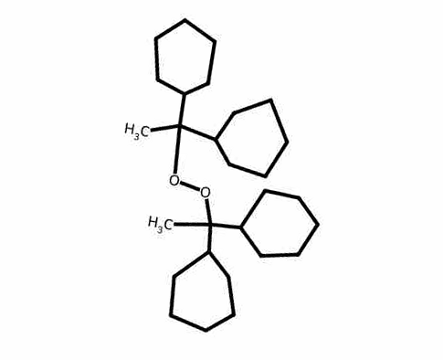 CC(OOC(C)(C1CCCCC1)C1CCCCC1)(C1CCCCC1)C1CCCCC1